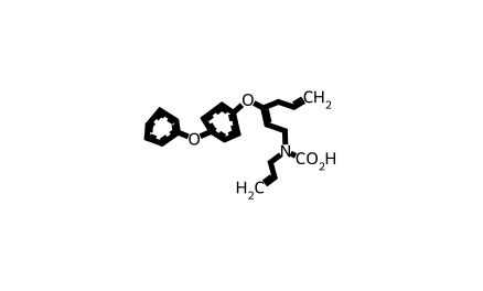 C=CCC(=CCN(CC=C)C(=O)O)Oc1ccc(Oc2ccccc2)cc1